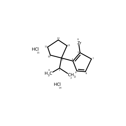 CC(C)C1(C2=[C]([Zr])CC=C2)CCCC1.Cl.Cl